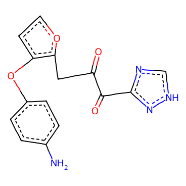 Nc1ccc(Oc2ccoc2CC(=O)C(=O)c2nc[nH]n2)cc1